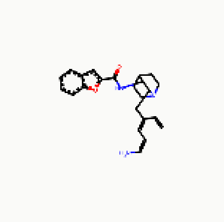 C=C/C(=C\C=C/N)CC1C(NC(=O)c2cc3ccccc3o2)C2CCN1CC2